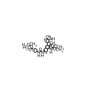 Cc1c(-c2cc3cc(NC(=O)NC4CCN(C(=O)OC(C)(C)C)CC4)ncc3c(NC(=O)OC(C)(C)C)c2F)cnc2c1NCCO2